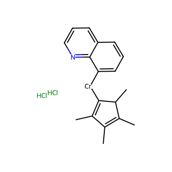 CC1=C(C)C(C)[C]([Cr][c]2cccc3cccnc23)=C1C.Cl.Cl